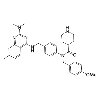 COc1ccc(CN(C(=O)C2CCNCC2)c2ccc(CNc3nc(N(C)C)nc4cc(C)ccc34)cc2)cc1